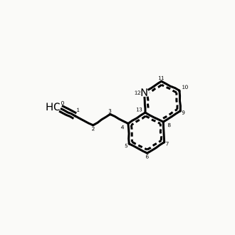 C#CCCc1cccc2cccnc12